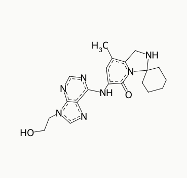 Cc1cc(Nc2ncnc3c2ncn3CCO)c(=O)n2c1CNC21CCCCC1